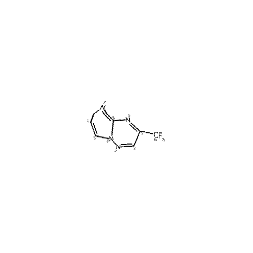 FC(F)(F)c1cnn2ccnc2n1